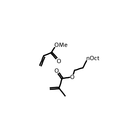 C=C(C)C(=O)OCCCCCCCCCC.C=CC(=O)OC